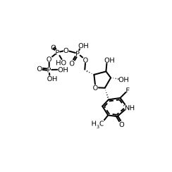 Cc1cc([C@@H]2O[C@H](COP(=O)(O)OP(=O)(O)OP(=O)(O)O)C(O)[C@@H]2O)c(F)[nH]c1=O